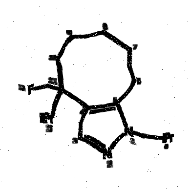 CC(C)n1ncc2c1CCCCCC2(F)C(C)C